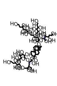 C=C1CC23CCC4[C@](C)(C(=O)OC(O)/C5=C/C(CO)C(O)COC(O)C(C(O)C(O)CCO)OC(O)C6OC(O5)C(O)C(O)C6O)CCC[C@@]4(C)[C@@H]2CC[C@]1(OC(O)C(OC(O)/C(O)=C(\O)C(O)CCO)C(OC(O)C(O)C(O)C(O)CCO)C(O)CCOC(O)C(O)C(O)C(O)CCO)C3